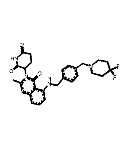 Cc1nc2cccc(NCc3ccc(CN4CCC(F)(F)CC4)cc3)c2c(=O)n1C1CCC(=O)NC1=O